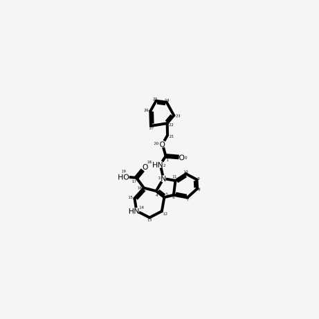 O=C(Nn1c2c(c3ccccc31)CCNC=C2C(=O)O)OCc1ccccc1